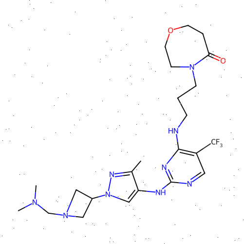 Cc1nn(C2CN(CN(C)C)C2)cc1Nc1ncc(C(F)(F)F)c(NCCCN2CCOCCC2=O)n1